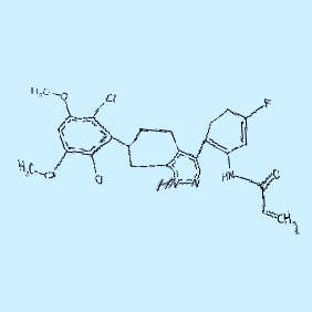 C=CC(=O)NC1=C(c2n[nH]c3c2CCC(c2c(Cl)c(OC)cc(OC)c2Cl)C3)CCC(F)=C1